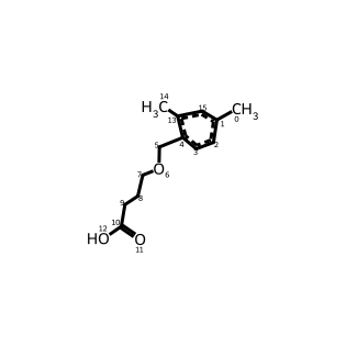 Cc1ccc(COCCCC(=O)O)c(C)c1